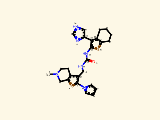 CCN1CCc2c(sc(-n3cccc3)c2CNC(=O)Nc2sc3c(c2-c2c[nH]cn2)CCCC3)C1